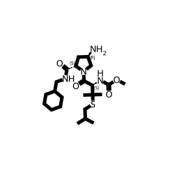 COC(=O)N[C@@H](C(=O)N1C[C@H](N)C[C@H]1C(=O)NCC1CCCCC1)C(C)(C)SCC(C)C